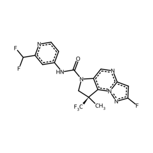 C[C@]1(C(F)(F)F)CN(C(=O)Nc2ccnc(C(F)F)c2)c2cnc3cc(F)nn3c21